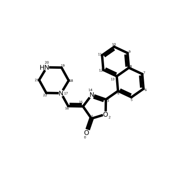 O=C1OC(c2cccc3ccccc23)=NC1=CN1CCNCC1